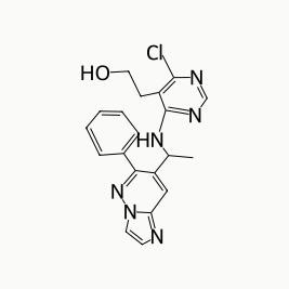 CC(Nc1ncnc(Cl)c1CCO)c1cc2nccn2nc1-c1ccccc1